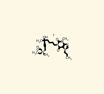 CCCn1cnc2c1c(=O)n(CCCCC(C)(O)C#CC[N+](C)(CC)CC)c(=O)n2C.[I-]